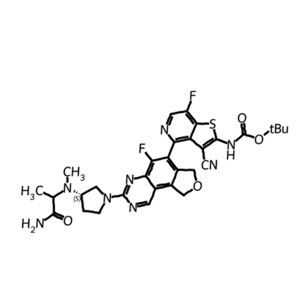 CC(C(N)=O)N(C)[C@H]1CCN(c2ncc3c4c(c(-c5ncc(F)c6sc(NC(=O)OC(C)(C)C)c(C#N)c56)c(F)c3n2)COC4)C1